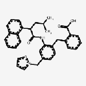 CC(C)CC(C(=O)Nc1cc(Cn2cccn2)ccc1Cc1ccccc1C(=O)O)c1cccc2ccccc12